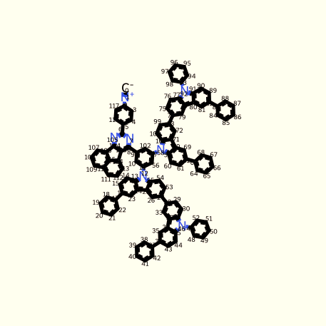 [C-]#[N+]c1ccc(-c2nc(-c3cc(-n4c5ccc(-c6ccccc6)cc5c5cc(-c6ccc7c(c6)c6cc(-c8ccccc8)ccc6n7-c6ccccc6)ccc54)cc(-n4c5ccc(-c6ccccc6)cc5c5cc(-c6ccc7c(c6)c6cc(-c8ccccc8)ccc6n7-c6ccccc6)ccc54)c3)c3c(n2)-c2cccc4cccc-3c24)cc1